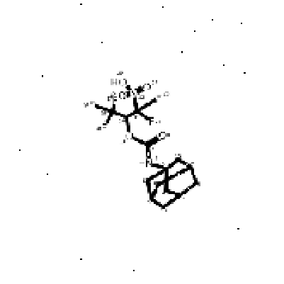 O=C(NC12CC3CC(CC(C3)C1)C2)OC(C(F)(F)F)C(F)(F)S(=O)(=O)O